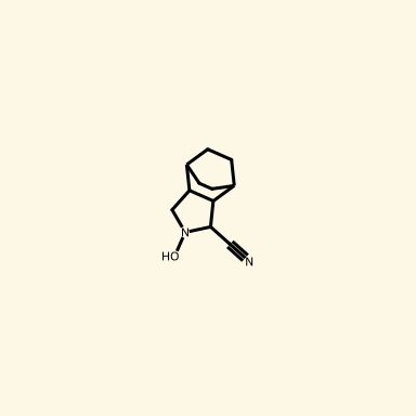 N#CC1C2C3CCC(CC3)C2CN1O